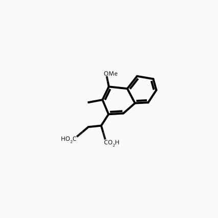 COc1c(C)c(C(CC(=O)O)C(=O)O)cc2ccccc12